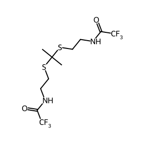 CC(C)(SCCNC(=O)C(F)(F)F)SCCNC(=O)C(F)(F)F